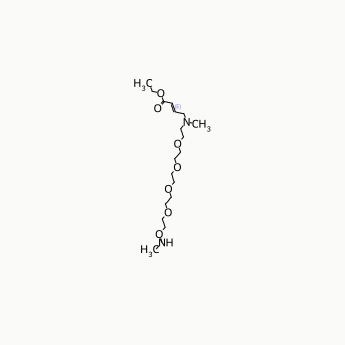 CCOC(=O)/C=C/CN(C)CCOCCOCCOCCOCCONC